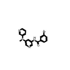 CN(c1cccnc1)c1cncc(NC(=O)c2cccc(Br)c2)c1